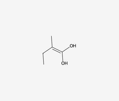 CCC(C)=C(O)O